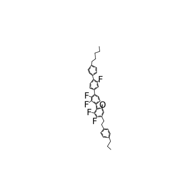 CCCCCc1ccc(-c2ccc(-c3cc4oc5cc(CCc6ccc(CCC)cc6)c(F)c(F)c5c4c(F)c3F)cc2F)cc1